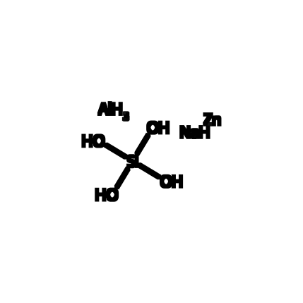 O[Si](O)(O)O.[AlH3].[NaH].[Zn]